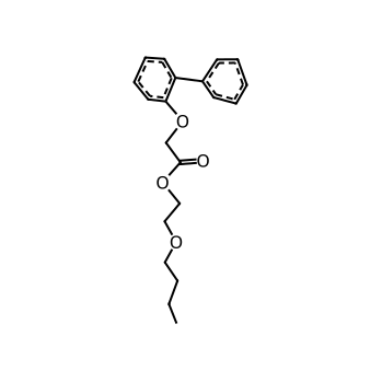 CCCCOCCOC(=O)COc1ccccc1-c1ccccc1